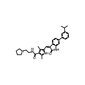 Cc1[nH]c(/C=C2\C(=O)Nc3cc(-c4cccc(C(C)C)c4)ccc32)c(C)c1C(=O)NCCN1CCCC1